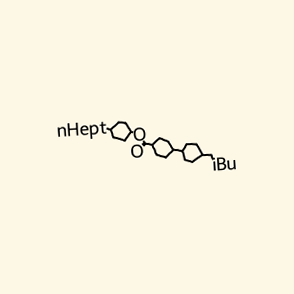 CCCCCCCC1CCC(OC(=O)C2CCC(C3CCC(CC(C)CC)CC3)CC2)CC1